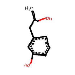 C=C(O)Cc1cccc(O)c1